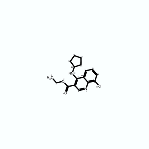 CCOC(=O)c1cnc2c(Cl)cccc2c1NC1CCCC1